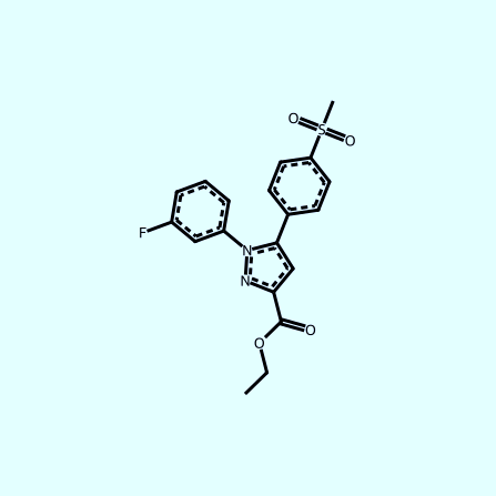 CCOC(=O)c1cc(-c2ccc(S(C)(=O)=O)cc2)n(-c2cccc(F)c2)n1